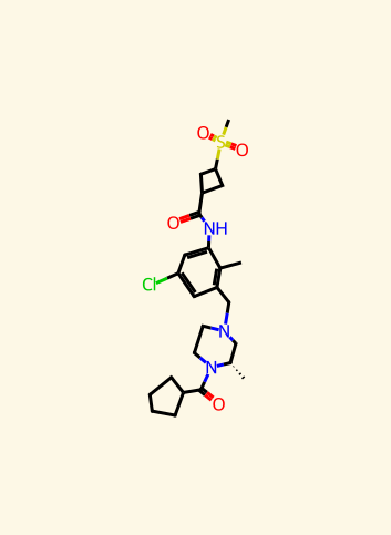 Cc1c(CN2CCN(C(=O)C3CCCC3)[C@@H](C)C2)cc(Cl)cc1NC(=O)C1CC(S(C)(=O)=O)C1